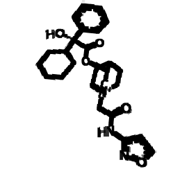 O=C(C[N+]12CCC(CC1)C(OC(=O)[C@](O)(c1ccccc1)C1CCCCC1)C2)Nc1ccon1